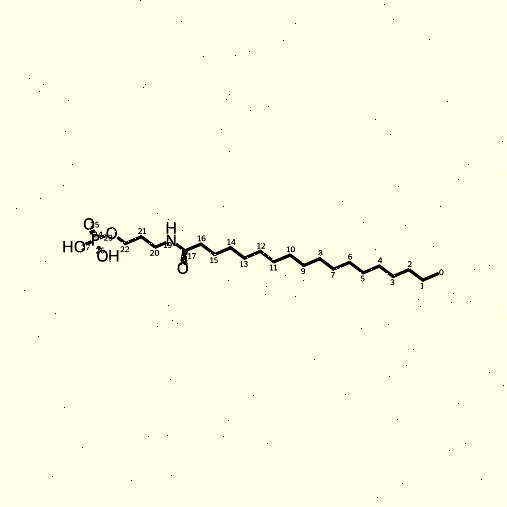 CCCCCCCCCCCCCCCCCC(=O)NCCCOP(=O)(O)O